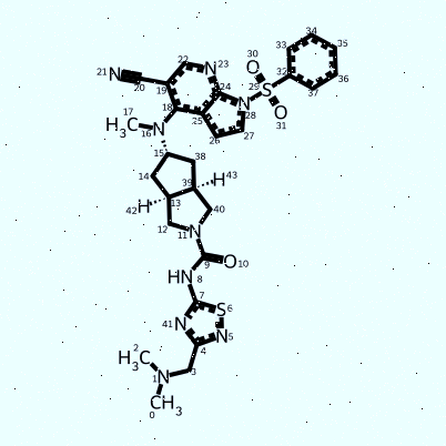 CN(C)Cc1nsc(NC(=O)N2C[C@H]3C[C@H](N(C)c4c(C#N)cnc5c4ccn5S(=O)(=O)c4ccccc4)C[C@H]3C2)n1